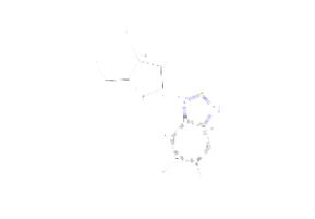 OCC1C[C@@H](n2cnc3cc(Cl)c(Cl)cc32)C(O)C1O